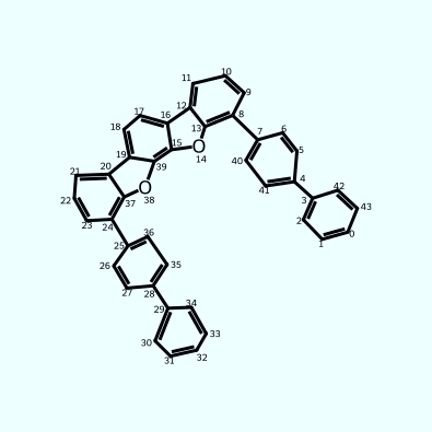 c1ccc(-c2ccc(-c3cccc4c3oc3c4ccc4c5cccc(-c6ccc(-c7ccccc7)cc6)c5oc43)cc2)cc1